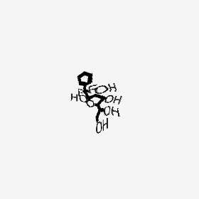 OCC(O)C1OC(O)(C(F)(F)c2ccccc2)[C@H](O)[C@H]1O